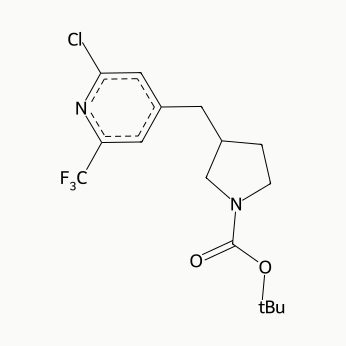 CC(C)(C)OC(=O)N1CCC(Cc2cc(Cl)nc(C(F)(F)F)c2)C1